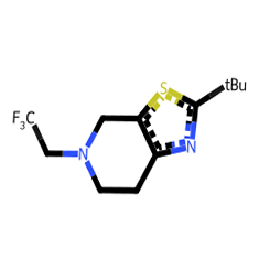 CC(C)(C)c1nc2c(s1)CN(CC(F)(F)F)CC2